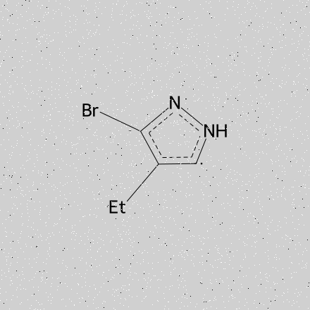 CCc1[c][nH]nc1Br